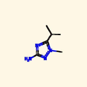 CC(C)c1nc(N)nn1C